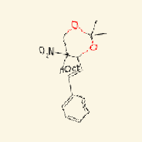 CCCCCCCCC1([N+](=O)[O-])COC(C)(C)OC1C=Cc1ccccc1